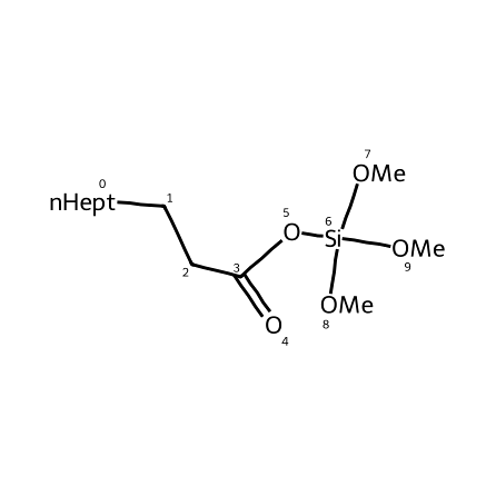 CCCCCCCCCC(=O)O[Si](OC)(OC)OC